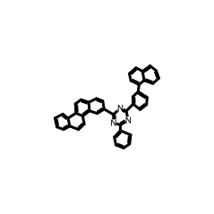 c1ccc(-c2nc(-c3cccc(-c4cccc5ccccc45)c3)nc(-c3ccc4ccc5c6ccccc6ccc5c4c3)n2)cc1